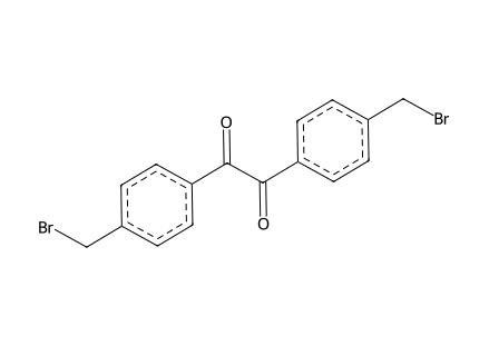 O=C(C(=O)c1ccc(CBr)cc1)c1ccc(CBr)cc1